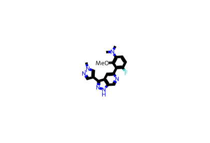 COc1c(N(C)C)ccc(F)c1-c1cc2c(-c3cnn(C)c3)n[nH]c2cn1